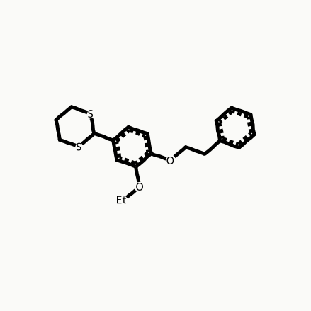 CCOc1cc(C2SCCCS2)ccc1OCCc1ccccc1